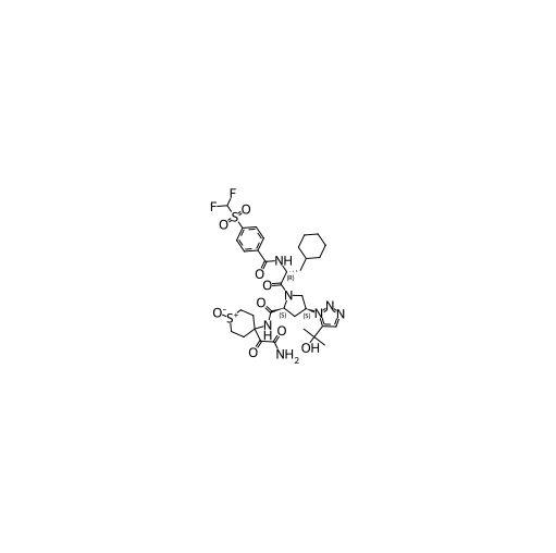 CC(C)(O)c1cnnn1[C@H]1C[C@@H](C(=O)NC2(C(=O)C(N)=O)CC[S+]([O-])CC2)N(C(=O)[C@@H](CC2CCCCC2)NC(=O)c2ccc(S(=O)(=O)C(F)F)cc2)C1